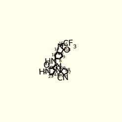 N#CCC1(n2nc(Nc3ccc4c(c3)CN(CC(F)(F)F)C4=O)c3c(=O)[nH]ccc32)CCCC1